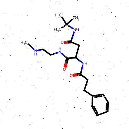 CNCCNC(=O)C(CC(=O)NC(C)(C)C)NC(=O)CCc1ccccc1